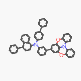 c1ccc(-c2ccc(N(c3cccc(-c4cc5c6c(c4)Oc4ccccc4N6c4ccccc4O5)c3)c3ccc(-c4ccccc4)c4ccccc34)cc2)cc1